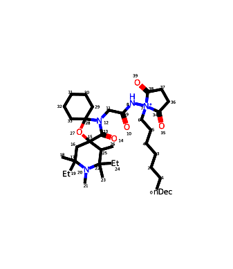 CCCCCCCCCCCCCCCC[N+]1(NC(=O)CN2C(=O)C3(CC(C)(CC)N(C)C(C)(CC)C3C)OC23CCCCC3)C(=O)CCC1=O